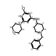 Clc1nc(NC2CCN(Cc3ccccc3)CC2)cc(N2CCOCC2)n1